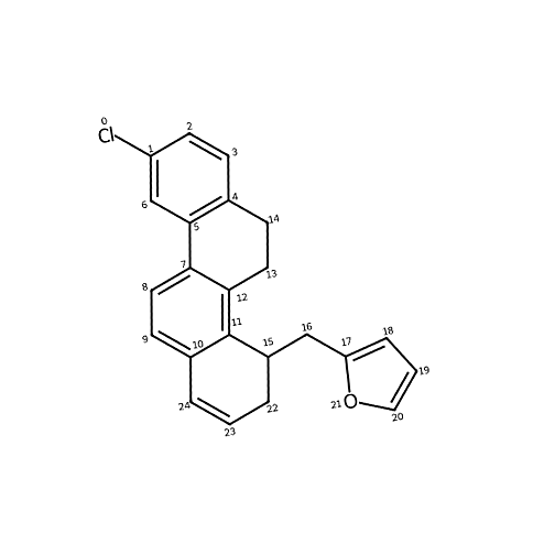 Clc1ccc2c(c1)-c1ccc3c(c1CC2)C(Cc1ccco1)CC=C3